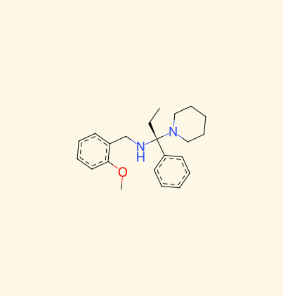 CC[C@](NCc1ccccc1OC)(c1ccccc1)N1CCCCC1